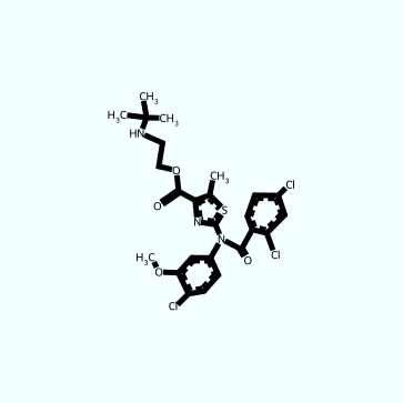 COc1cc(N(C(=O)c2ccc(Cl)cc2Cl)c2nc(C(=O)OCCNC(C)(C)C)c(C)s2)ccc1Cl